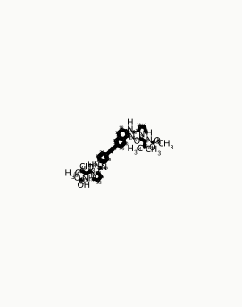 COC(=O)N[C@H](C(=O)N1CCC[C@H]1c1nc2c([nH]1)CCc1cc(C#Cc3ccc4[nH]c([C@@H]5CCCN5C(=O)[C@@H](NC(=O)O)C(C)C)nc4c3)ccc1-2)C(C)C